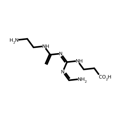 C=C(/N=C(\N=C/N)NCCC(=O)O)NCCN